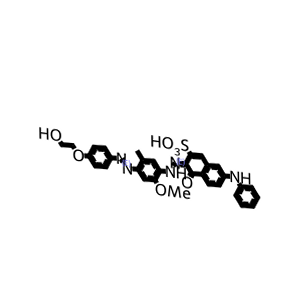 COc1cc(/N=N/c2ccc(OCCO)cc2)c(C)cc1N/N=C1\C(=O)c2ccc(Nc3ccccc3)cc2C=C1S(=O)(=O)O